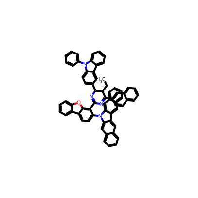 CCC1C(c2ccc3ccccc3c2)=NC(c2c(-n3c4cc5ccccc5cc4c4cc5ccccc5cc43)ccc3c2oc2ccccc23)=NC1c1ccc2c(c1)c1ccccc1n2-c1ccccc1